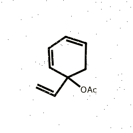 C=CC1(OC(C)=O)C=CC=CC1